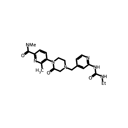 CCNC(=O)Nc1cc(CN2CCN(c3ccc(C(=O)NC)nc3C)C(=O)C2)ccn1